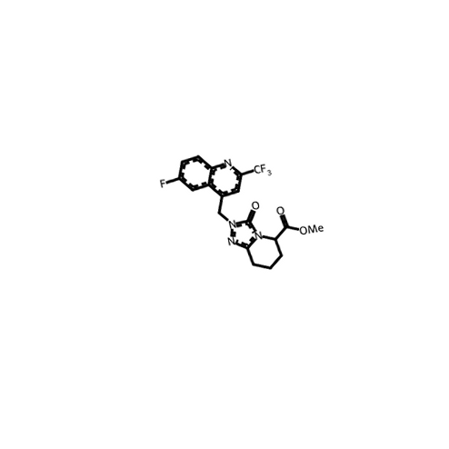 COC(=O)C1CCCc2nn(Cc3cc(C(F)(F)F)nc4ccc(F)cc34)c(=O)n21